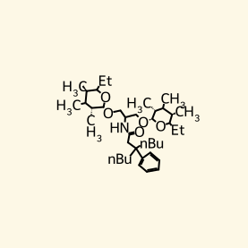 CCCCC(CCCC)(CC(=O)NC(CO[C@H]1OC(CC)[C@H](C)C(C)[C@H]1C)CO[C@H]1OC(CC)[C@H](C)C(C)[C@H]1C)c1ccccc1